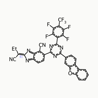 CC/C(C#N)=C1/N=c2ccc(-c3nc(-c4ccc5c(c4)oc4ccccc45)nc(-c4c(F)c(F)c(C(F)(F)F)c(F)c4F)n3)c(C#N)c2=N1